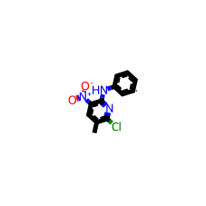 Cc1cc([N+](=O)[O-])c(Nc2c[c]ccc2)nc1Cl